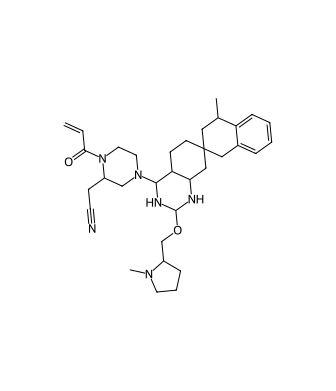 C=CC(=O)N1CCN(C2NC(OCC3CCCN3C)NC3CC4(CCC32)Cc2ccccc2C(C)C4)CC1CC#N